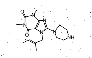 CC=C(C)Cn1c(N2CCNCC2)nc2c1c(=O)n(C)c(=O)n2C